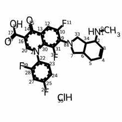 CNC1C=CCC2CN(c3c(F)cc4c(=O)c(C(=O)O)cn(-c5ccc(F)cc5F)c4c3F)CC21.Cl